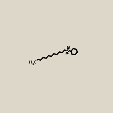 CCCCCCCCCCCCS(=O)(=O)C1CCCCC1